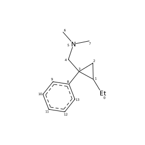 CCC1CC1(CN(C)C)c1ccccc1